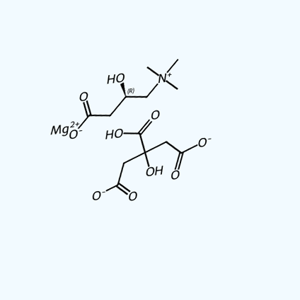 C[N+](C)(C)C[C@H](O)CC(=O)[O-].O=C([O-])CC(O)(CC(=O)[O-])C(=O)O.[Mg+2]